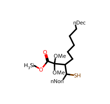 CCCCCCCCCCCCCCCC(C(S)CCCCCCCCC)C(OC)(OC)C(=O)O[SiH3]